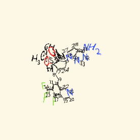 CC1(C)O[C@@H]2[C@H](O1)C(CCc1cc(C(F)F)c(F)c3ccncc13)=C[C@H]2n1ccc2c(N)ncnc21